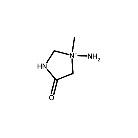 C[N+]1(N)CNC(=O)C1